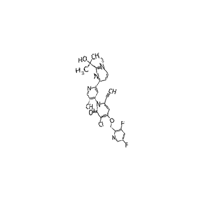 C#Cc1cc(OCc2ncc(F)cc2F)c(Cl)c(=O)n1-c1cc(-c2ccnc(C(C)(C)O)n2)ncc1C